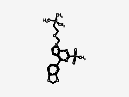 C[Si](C)(C)CCOCn1ccc2c(-c3ccc4c(c3)OCO4)nc(S(C)(=O)=O)nc21